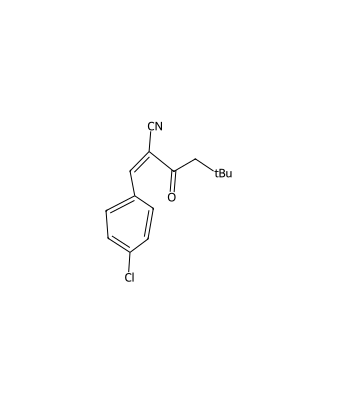 CC(C)(C)CC(=O)C(C#N)=Cc1ccc(Cl)cc1